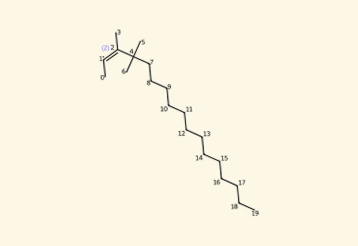 C/[C]=C(/C)C(C)(C)CCCCCCCCCCCCC